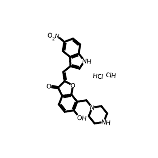 Cl.Cl.O=C1C(=Cc2c[nH]c3ccc([N+](=O)[O-])cc23)Oc2c1ccc(O)c2CN1CCNCC1